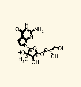 C[C@@]1(O)C(O)[C@@H](OOP(O)CO)O[C@H]1n1ccc2c(=O)[nH]c(N)nc21